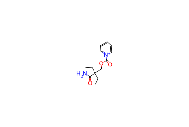 CCC(CC)(COC(=O)[n+]1ccccc1)C(N)=O